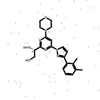 CO[C@@H](CO)c1nc(N2CCOCC2)cc(-n2ccc(-c3cccc(C)c3C)n2)n1